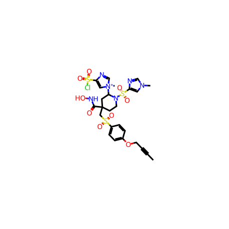 CC#CCOc1ccc(S(=O)(=O)CC2(C(=O)NO)CCN(S(=O)(=O)c3cn(C)cn3)C([N+]3(C)C=NC(S(=O)(=O)Cl)=C3)C2)cc1